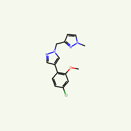 COc1cc(Cl)ccc1-c1cnn(Cc2ccn(C)n2)c1